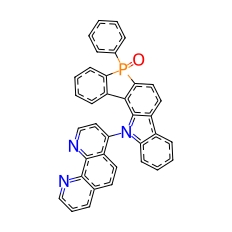 O=P1(c2ccccc2)c2ccccc2-c2c1ccc1c3ccccc3n(-c3ccnc4c3ccc3cccnc34)c21